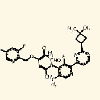 C/C(=C/C(OCc1ncc(F)cc1F)=C(\C)Cl)N(C=O)c1c(C)cnc(-c2ccnc(C3CC(C)(O)C3)n2)c1F